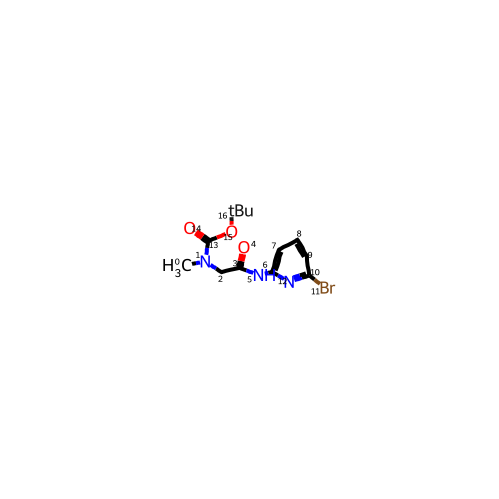 CN(CC(=O)Nc1cccc(Br)n1)C(=O)OC(C)(C)C